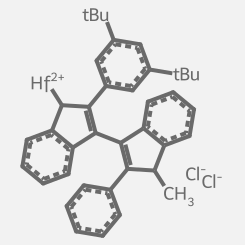 CC1C(c2ccccc2)=C(C2=C(c3cc(C(C)(C)C)cc(C(C)(C)C)c3)[CH]([Hf+2])c3ccccc32)c2ccccc21.[Cl-].[Cl-]